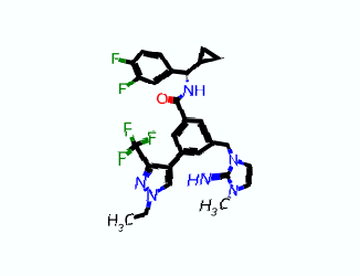 CCn1cc(-c2cc(Cn3ccn(C)c3=N)cc(C(=O)N[C@H](c3ccc(F)c(F)c3)C3CC3)c2)c(C(F)(F)F)n1